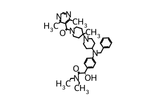 CCN(CC)C(=O)[C@@H](O)c1ccc(N(Cc2ccccc2)C2CCN(C3(C)CCN(C(=O)c4c(C)ncnc4C)CC3)CC2)cc1